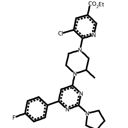 CCOC(=O)c1cnc(N2CCN(c3cc(-c4ccc(F)cc4)nc(N4CCCC4)n3)C(C)C2)c(Cl)c1